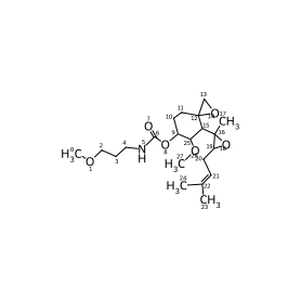 COCCCNC(=O)OC1CCC2(CO2)C(C2(C)OC2CC=C(C)C)C1OC